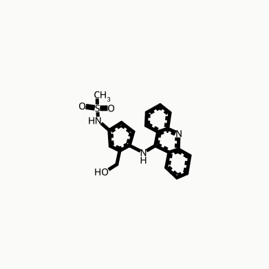 CS(=O)(=O)Nc1ccc(Nc2c3ccccc3nc3ccccc23)c(CO)c1